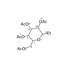 CCC1OC(COC(C)=O)C(OC(C)=O)C(OC(C)=O)C1OC(C)=O